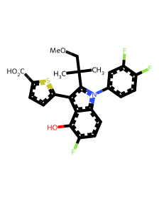 COCC(C)(C)c1c(-c2ccc(C(=O)O)s2)c2c(O)c(F)ccc2n1-c1ccc(F)c(F)c1